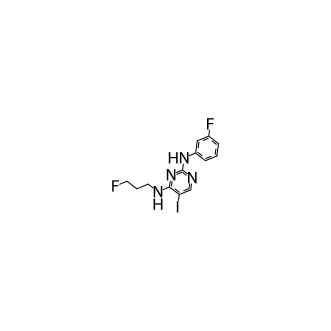 FCCCNc1nc(Nc2cccc(F)c2)ncc1I